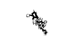 Cc1c(Cl)cccc1NCc1cc(=O)n2nc(-c3cccs3)nc2[nH]1